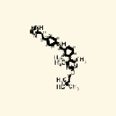 Cc1nc(OCCC(C)(C)O)nc(C)c1-c1cccc(CNc2ccc(CCc3nnn[nH]3)cc2)c1C